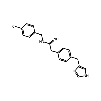 N=C(Cc1ccc(Cc2c[nH]cn2)cc1)NCc1ccc(Cl)cc1